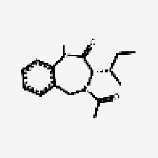 CCC(C)[C@H]1C(=O)Nc2ccccc2CN1C(C)=O